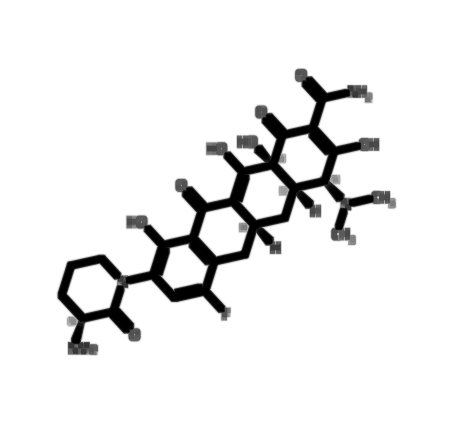 CN[C@H]1CCCN(c2cc(F)c3c(c2O)C(=O)C2=C(O)[C@]4(O)C(=O)C(C(N)=O)=C(O)[C@@H](N(C)C)[C@@H]4C[C@@H]2C3)C1=O